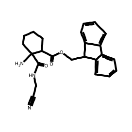 N#CCNC(=O)C1(N)CCCCC1C(=O)OCC1c2ccccc2-c2ccccc21